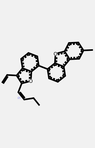 C=Cc1c(/C=C\CC)oc2c(-c3cccc4c3oc3ccc(C)cc34)cccc12